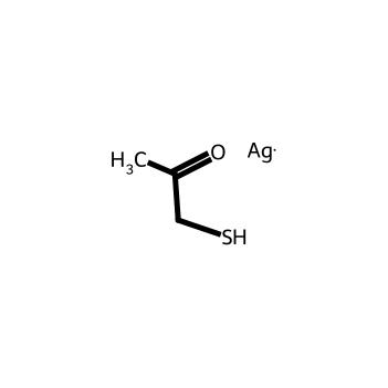 CC(=O)CS.[Ag]